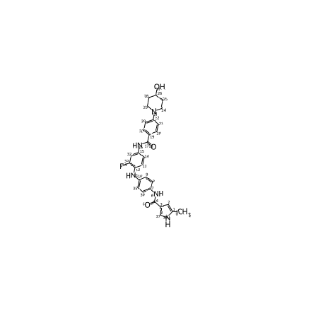 Cc1cc(C(=O)Nc2ccc(Nc3ccc(NC(=O)c4ccc(N5CCC(O)CC5)cc4)cc3F)cc2)c[nH]1